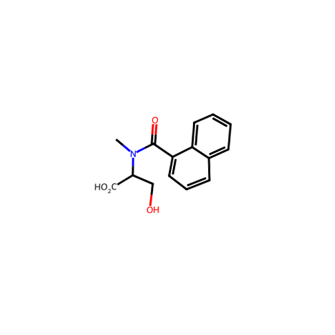 CN(C(=O)c1cccc2ccccc12)C(CO)C(=O)O